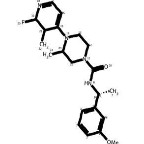 COc1cccc([C@@H](C)NC(=O)N2CCN(C3=CC=NC(F)C3C)C(C)C2)c1